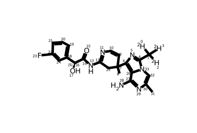 [2H]C([2H])([2H])c1nc(C2(C)C=CN=C(NC(=O)[C@@H](O)c3cccc(F)c3)C2)c2c(N)nc(C)cn12